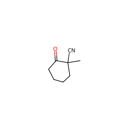 CC1(C#N)CCCCC1=O